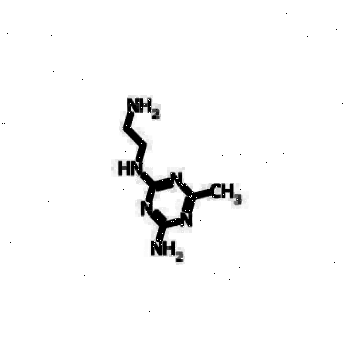 Cc1nc(N)nc(NCCN)n1